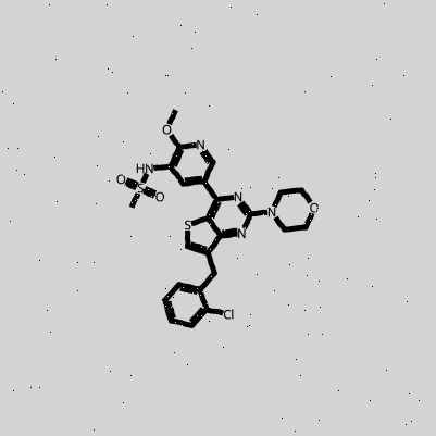 COc1ncc(-c2nc(N3CCOCC3)nc3c(Cc4ccccc4Cl)csc23)cc1NS(C)(=O)=O